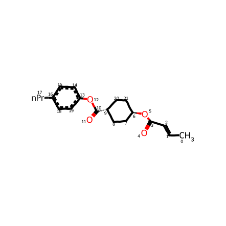 CC=CC(=O)O[C@H]1CC[C@H](C(=O)Oc2ccc(CCC)cc2)CC1